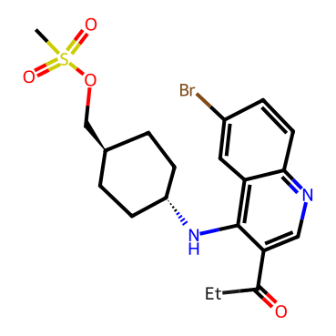 CCC(=O)c1cnc2ccc(Br)cc2c1N[C@H]1CC[C@H](COS(C)(=O)=O)CC1